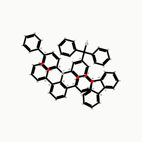 ClC(c1ccccc1)(c1ccccc1)c1cc(N(c2ccc(-c3ccccc3)cc2)c2c(-c3ccccc3)cccc2-c2ccccc2)cc(-n2c3ccccc3c3ccccc32)c1